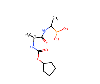 CC(NC(=O)[C@H](C)NC(=O)OC1CCCC1)P(O)O